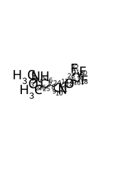 CNC(=O)c1ccc(-c2ccnc(COc3cc(F)c(F)c(F)c3)c2)cc1C